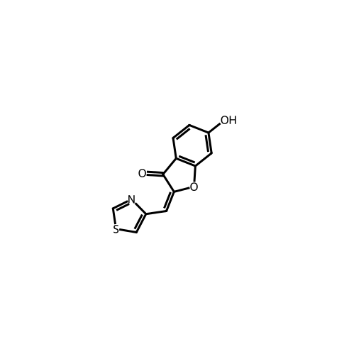 O=C1C(=Cc2cscn2)Oc2cc(O)ccc21